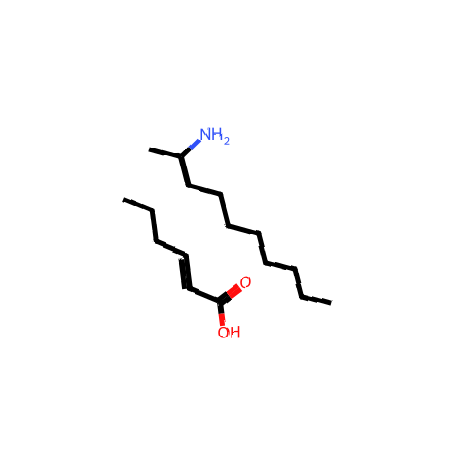 CCCC=CC(=O)O.CCCCCCCCC(C)N